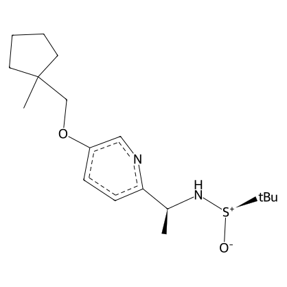 C[C@H](N[S@+]([O-])C(C)(C)C)c1ccc(OCC2(C)CCCC2)cn1